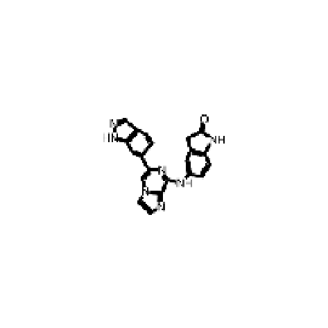 O=C1Cc2cc(Nc3nc(-c4ccc5cn[nH]c5c4)cn4ccnc34)ccc2N1